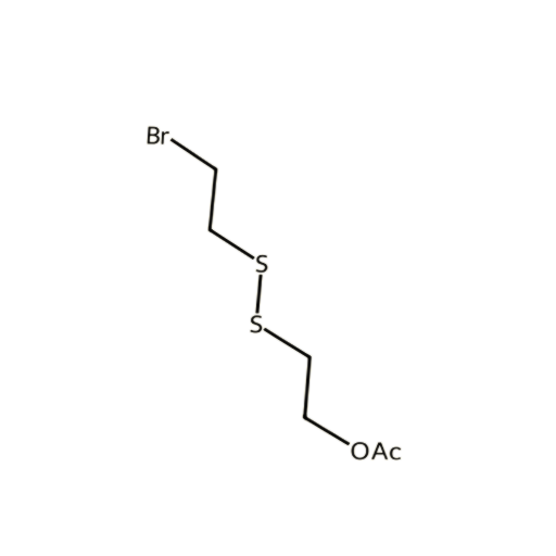 CC(=O)OCCSSCCBr